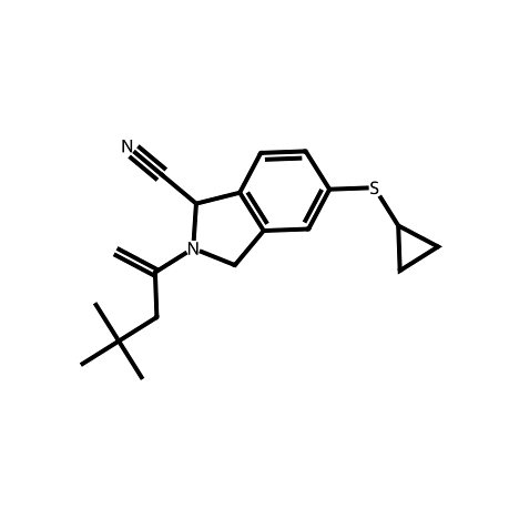 C=C(CC(C)(C)C)N1Cc2cc(SC3CC3)ccc2C1C#N